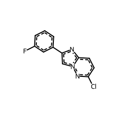 Fc1cccc(-c2cn3nc(Cl)ccc3n2)c1